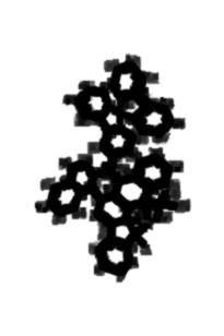 CC12C=C3c4ccccc4C(C)(C)C3(C)C3=C1C(C)(c1ccccc1C3(C)C(C)(C)C)N(c1ccc3c(c1)-c1ccccc1C31c3ccccc3-c3ccccc31)c1ccc3ccccc3c12